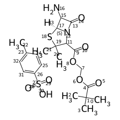 CC(C)(C)C(=O)OCOC(=O)C1N2C(=O)C(N)[C@@H]2SC1(C)C.Cc1ccc(S(=O)(=O)O)cc1